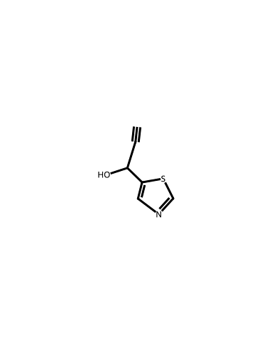 C#CC(O)c1cncs1